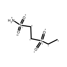 CCS(=O)(=O)CCS(N)(=O)=O